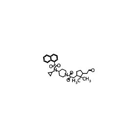 CC1(C)C(CC=O)CCC1CS(=O)(=O)N1CCC(N(C2CC2)S(=O)(=O)c2cccc3ccccc23)CC1